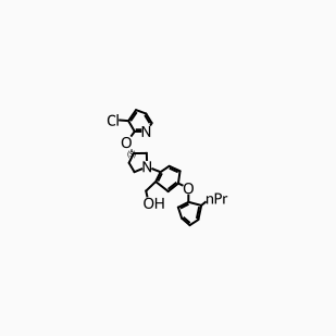 CCCc1ccccc1Oc1ccc(N2CC[C@H](Oc3ncccc3Cl)C2)c(CO)c1